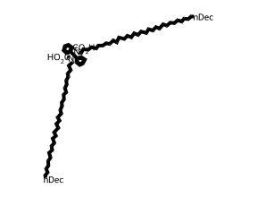 CCCCCCCCCCCCCCCCCCCCCCCCCCCCCCCCCCCCCCCCCCN(C(=O)O)C(c1ccccc1)(c1ccccc1)N(CCCCCCCCCCCCCCCCCCCCCCCCCCCCCCCCCCCCCCCCCC)C(=O)O